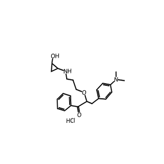 CN(C)c1ccc(CC(OCCCNC2CC2O)C(=O)c2ccccc2)cc1.Cl